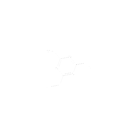 CCCOc1nc(OC)nc(OI)n1